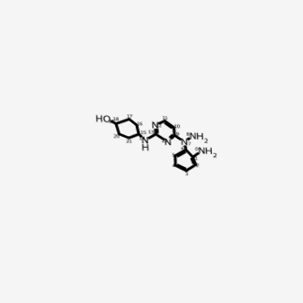 Nc1ccccc1N(N)c1ccnc(NC2CCC(O)CC2)n1